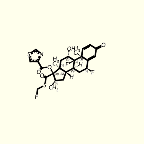 C[C@@H]1C[C@H]2[C@@H]3C[C@H](F)C4=CC(=O)C=C[C@]4(C)[C@@]3(F)[C@@H](O)C[C@]2(C)[C@@]1(OC(=O)c1cscn1)C(=O)SCF